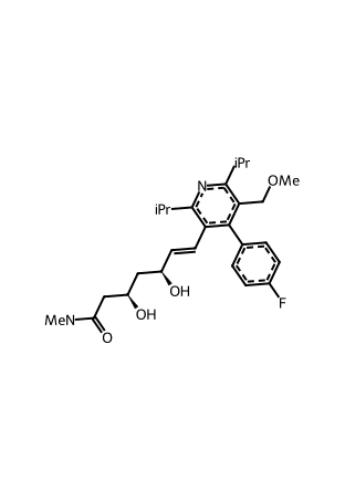 CNC(=O)C[C@H](O)C[C@H](O)/C=C/c1c(C(C)C)nc(C(C)C)c(COC)c1-c1ccc(F)cc1